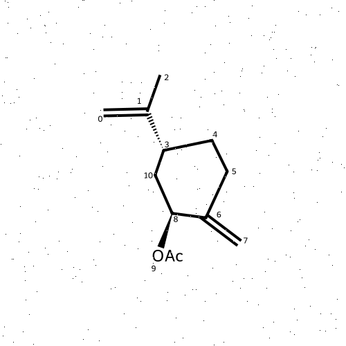 C=C(C)[C@@H]1CCC(=C)[C@@H](OC(C)=O)C1